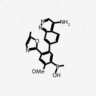 COc1cc(-c2ncc(C)o2)c(-c2ccc3c(N)cnnc3c2)cc1B(C)O